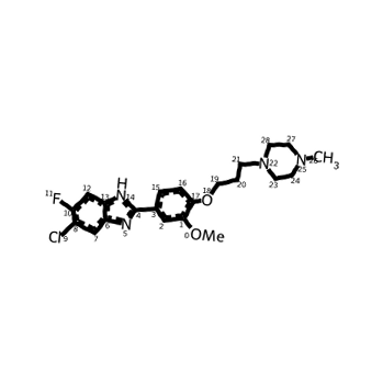 COc1cc(-c2nc3cc(Cl)c(F)cc3[nH]2)ccc1OCCCN1CCN(C)CC1